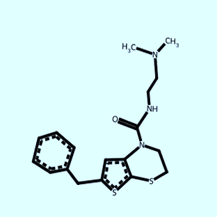 CN(C)CCNC(=O)N1CCSc2sc(Cc3ccccc3)cc21